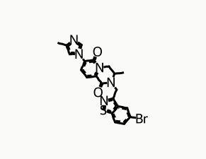 Cc1cn(-c2ccc3n(c2=O)CC(C)N(Cc2nsc4ccc(Br)cc24)C3=O)cn1